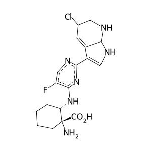 N[C@]1(C(=O)O)CCCC[C@@H]1Nc1nc(C2=CNC3NCC(Cl)C=C23)ncc1F